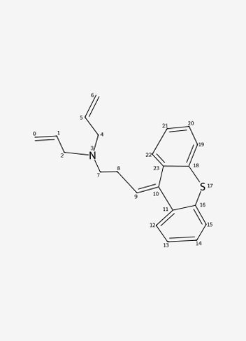 C=CCN(CC=C)CCC=C1c2ccccc2Sc2ccccc21